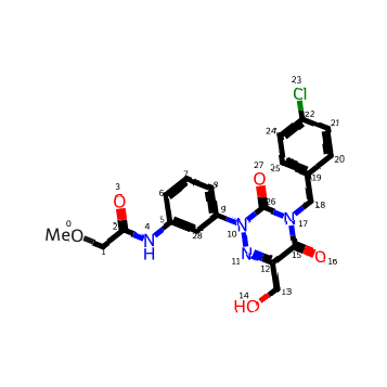 COCC(=O)Nc1cccc(-n2nc(CO)c(=O)n(Cc3ccc(Cl)cc3)c2=O)c1